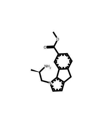 COC(=O)c1ccc2c(c1)-c1c(ccn1C[C@@H](C)N)C2